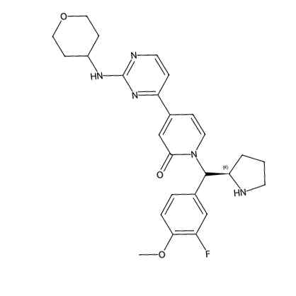 COc1ccc(C([C@H]2CCCN2)n2ccc(-c3ccnc(NC4CCOCC4)n3)cc2=O)cc1F